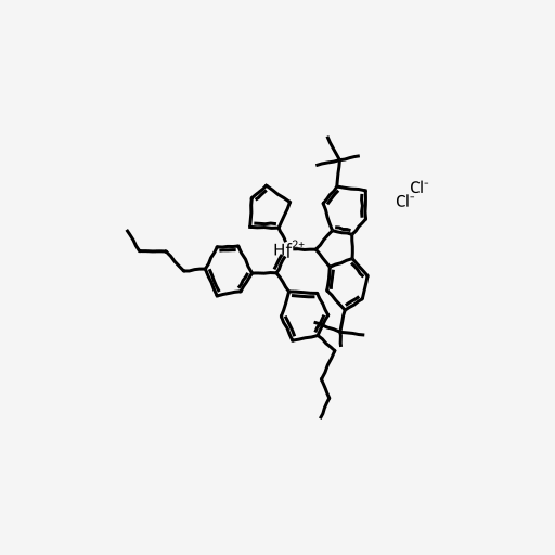 CCCCc1ccc([C](c2ccc(CCCC)cc2)=[Hf+2]([C]2=CC=CC2)[CH]2c3cc(C(C)(C)C)ccc3-c3ccc(C(C)(C)C)cc32)cc1.[Cl-].[Cl-]